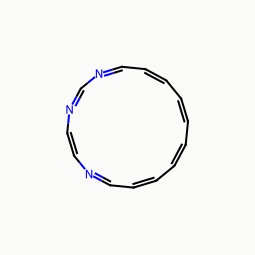 C1=CC=CC=NC=CN=CN=CC=CC=C1